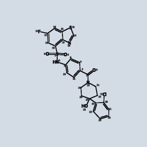 O=C(c1ccc(NS(=O)(=O)c2cc(F)cc3scnc23)cc1)N1CCC(O)(c2ccccc2Cl)CC1